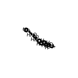 C[C@H]1CC[C@@]2(OC1)O[C@H]1C[C@H]3[C@@H]4CC[C@@H]5C[C@@H](NC(=O)CC(=O)NCCCN6CCN(C)CC6)CC[C@]5(C)[C@H]4CC[C@]3(C)[C@H]1[C@@H]2C